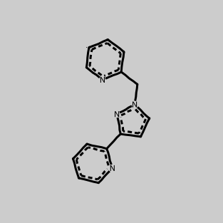 [c]1ccc(Cn2ccc(-c3ccccn3)n2)nc1